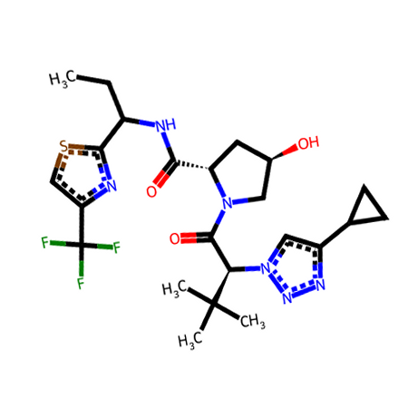 CCC(NC(=O)[C@@H]1C[C@@H](O)CN1C(=O)[C@@H](n1cc(C2CC2)nn1)C(C)(C)C)c1nc(C(F)(F)F)cs1